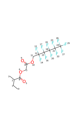 CCC(C)C(=O)OCC(=O)OCC(F)(F)C(F)(F)C(F)(F)C(F)(F)C(F)(F)F